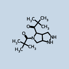 CC(C)(C)C(=O)C1C2CNNC2CN1C(=O)C(C)(C)C